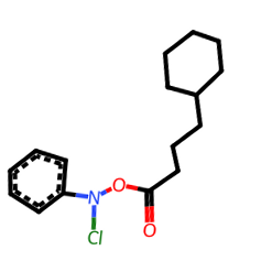 O=C(CCCC1CCCCC1)ON(Cl)c1ccccc1